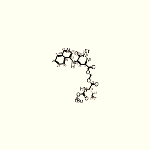 CCn1nc(C(=O)OCOC(=O)[C@H](CC(C)C)NC(=O)OC(C)(C)C)cc(Nc2cncc3ccccc23)c1=O